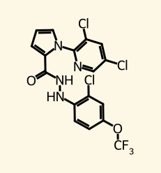 O=C(NNc1ccc(OC(F)(F)F)cc1Cl)c1cccn1-c1ncc(Cl)cc1Cl